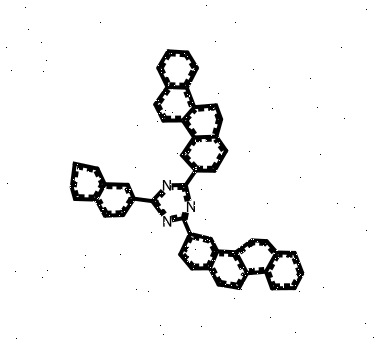 c1ccc2cc(-c3nc(-c4ccc5ccc6c7ccccc7ccc6c5c4)nc(-c4ccc5ccc6c7ccccc7ccc6c5c4)n3)ccc2c1